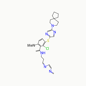 C=N/C=C\N=C/CCNC(=C)c1c(NC)ccc(Sc2cnc(N3CCC4(CCCC4)CC3)cn2)c1Cl